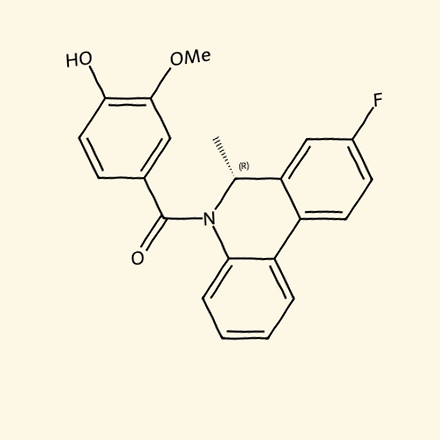 COc1cc(C(=O)N2c3ccccc3-c3ccc(F)cc3[C@H]2C)ccc1O